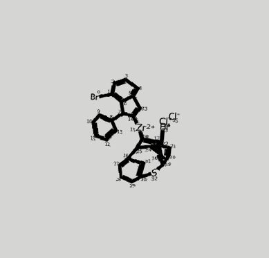 Brc1cccc2c1C(c1ccccc1)[C]([Zr+2][C]1=Cc3c4ccc(Br)c3C1c1cccc(c1)S4)=C2.[Cl-].[Cl-]